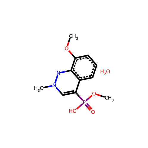 COc1cccc2c1[N]N(C)C=C2P(=O)(O)OC.O